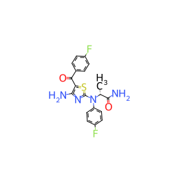 C[C@H](C(N)=O)N(c1ccc(F)cc1)c1nc(N)c(C(=O)c2ccc(F)cc2)s1